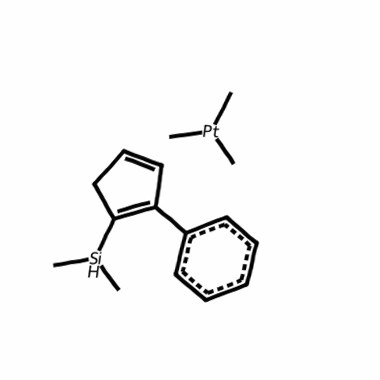 C[SiH](C)C1=C(c2ccccc2)C=CC1.[CH3][Pt]([CH3])[CH3]